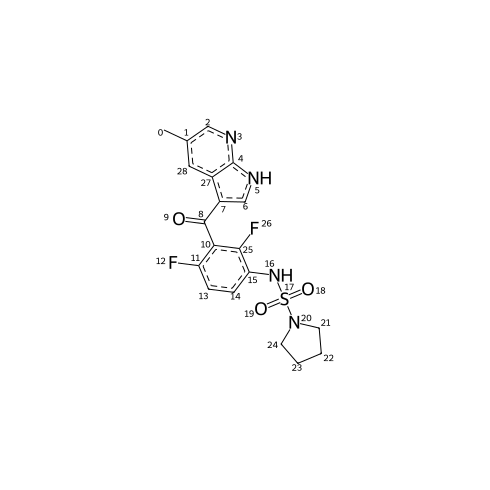 Cc1cnc2[nH]cc(C(=O)c3c(F)ccc(NS(=O)(=O)N4CCCC4)c3F)c2c1